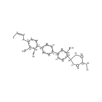 C/C=C\Cc1ccc(-c2ccc(-c3ccc(C4COC(CC)OC4)c(F)c3)cc2)c(F)c1F